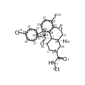 CCNC(=O)N1CC[C@@]2(S(=O)(=O)c3ccc(Cl)cc3)c3c(F)ccc(F)c3OC[C@H]2C1